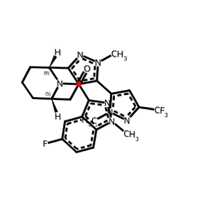 Cn1nc(C(F)(F)F)cc1-c1c2c(nn1C)[C@H]1CCC[C@@H](C2)N1C(=O)c1nn(C)c2ccc(F)cc12